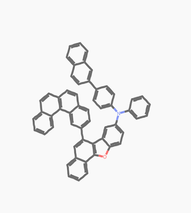 c1ccc(N(c2ccc(-c3ccc4ccccc4c3)cc2)c2ccc3oc4c5ccccc5cc(-c5ccc6ccc7ccc8ccccc8c7c6c5)c4c3c2)cc1